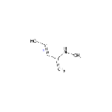 C=C(/C=C/O)NC